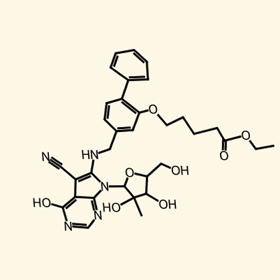 CCOC(=O)CCCCOc1cc(CNc2c(C#N)c3c(O)ncnc3n2C2OC(CO)C(O)C2(C)O)ccc1-c1ccccc1